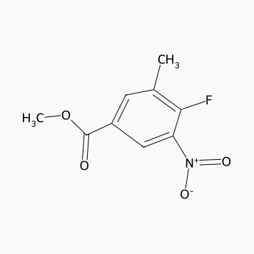 COC(=O)c1cc(C)c(F)c([N+](=O)[O-])c1